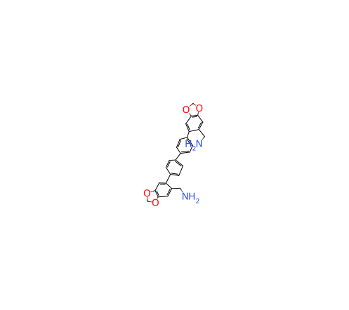 NCc1cc2c(cc1-c1ccc(-c3ccc(-c4cc5c(cc4CN)OCO5)cc3)cc1)OCO2